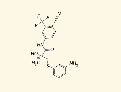 C[C@@](O)(CSc1cccc(N)c1)C(=O)Nc1ccc(C#N)c(C(F)(F)F)c1